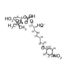 C[N+](C)(C)C[C@@H](CC(=O)O)OP(=O)(O)OCCCCCCCCOc1ccc([N+](=O)[O-])cc1.[OH-]